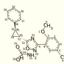 COc1ccc(Cl)cc1-c1noc([C@@H]2C[C@H]2c2ccccc2)n1.N[SH](=O)=O